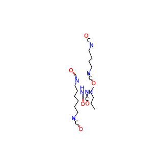 CCCCC.N=C=O.N=C=O.O=C=NCCCCCCN=C=O.O=C=NCCCCN=C=O